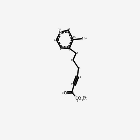 CCOC(=O)C(=O)C#CCCCc1ccncc1I